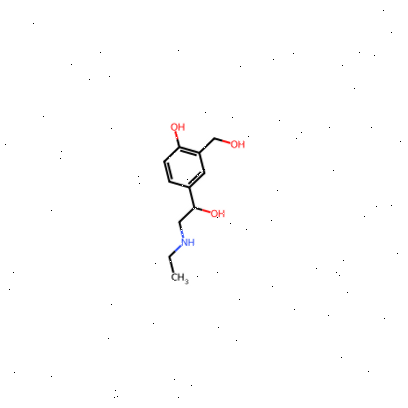 CCNCC(O)c1ccc(O)c(CO)c1